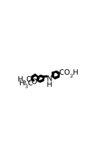 CC1(C)C=Cc2cc(CNc3ccc(C(=O)O)cc3)ccc2O1